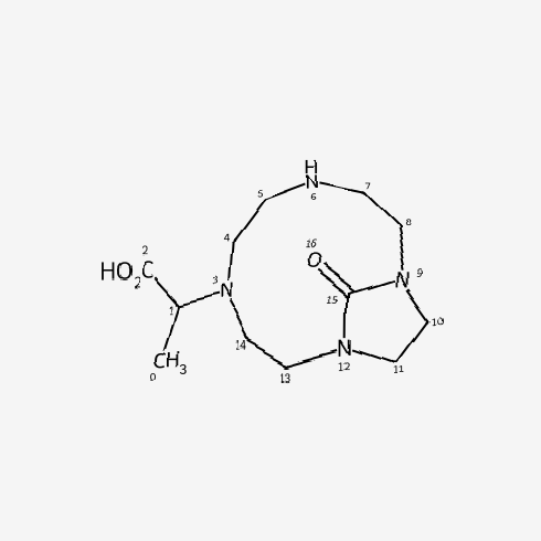 CC(C(=O)O)N1CCNCCN2CCN(CC1)C2=O